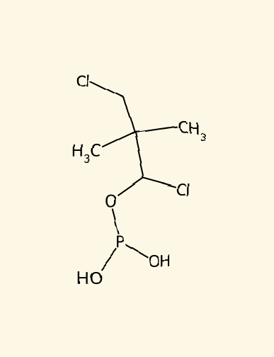 CC(C)(CCl)C(Cl)OP(O)O